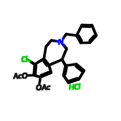 CC(=O)Oc1cc2c(c(Cl)c1OC(C)=O)CCN(Cc1ccccc1)CC2c1ccccc1.Cl